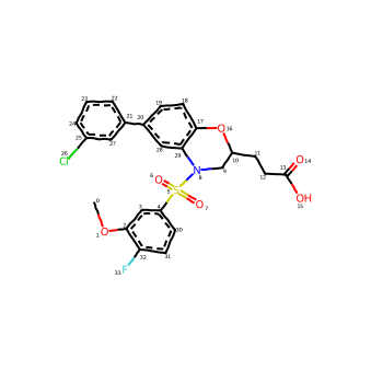 COc1cc(S(=O)(=O)N2CC(CCC(=O)O)Oc3ccc(-c4cccc(Cl)c4)cc32)ccc1F